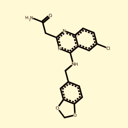 NC(=O)Cc1nc(NCc2ccc3c(c2)OCO3)c2cc(Cl)ccc2n1